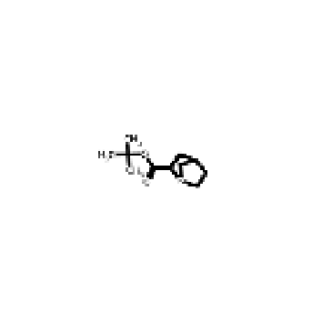 CC(C)(C)OC(=O)C1CC2CCN1C2